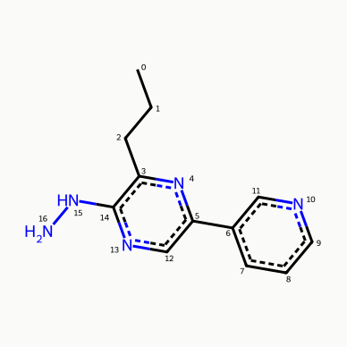 CCCc1nc(-c2cccnc2)cnc1NN